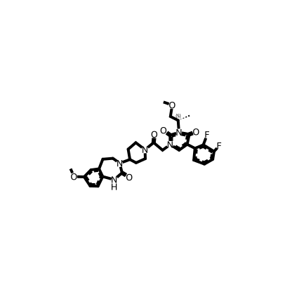 COC[C@H](C)n1c(=O)c(-c2cccc(F)c2F)cn(CC(=O)N2CCC(N3CCc4cc(OC)ccc4NC3=O)CC2)c1=O